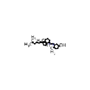 C=C1CC[C@H](O)C/C1=C/C=C1\CCC[C@]2(C)C(CCCCC(C)C)CC[C@@H]12